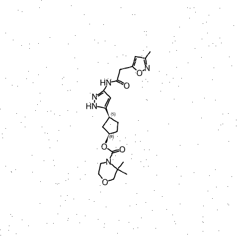 Cc1cc(CC(=O)Nc2cc([C@H]3CC[C@@H](OC(=O)N4CCOCC4(C)C)C3)[nH]n2)on1